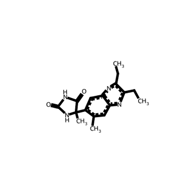 CCc1nc2cc(C)c(C3(C)NC(=O)NC3=O)cc2nc1CC